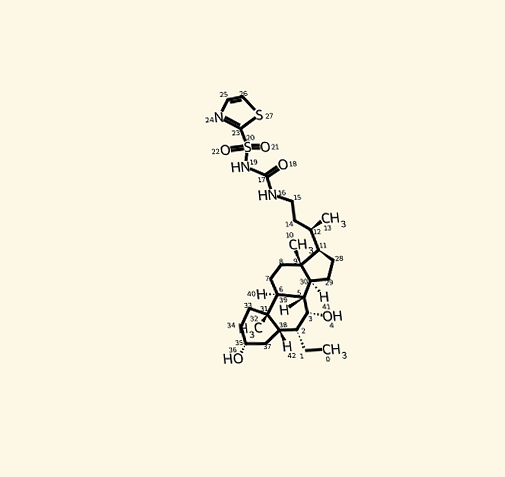 CC[C@H]1[C@@H](O)[C@@H]2[C@H](CC[C@]3(C)[C@@H]([C@H](C)CCNC(=O)NS(=O)(=O)c4nccs4)CC[C@@H]23)[C@@]2(C)CC[C@@H](O)C[C@@H]12